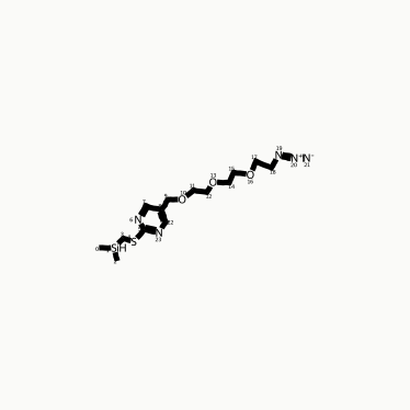 C[SiH](C)CSc1ncc(COCCOCCOCCN=[N+]=[N-])cn1